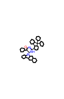 c1ccc(C2(c3ccccc3)c3ccccc3-c3c(C4=Nc5oc6ccccc6c5C(n5c6ccccc6c6cc7ccccc7cc65)N4)cccc32)cc1